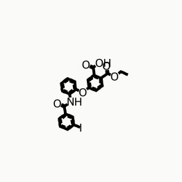 CCOC(=O)c1ccc(Oc2ccccc2NC(=O)c2cccc(I)c2)cc1C(=O)O